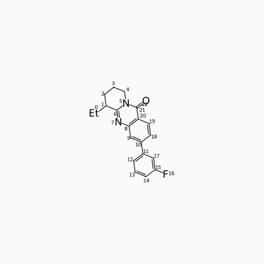 CCC1CCCn2c1nc1cc(-c3cccc(F)c3)ccc1c2=O